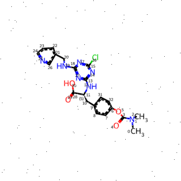 CN(C)C(=O)Oc1ccc(C[C@H](Nc2nc(Cl)nc(NCc3cccnc3)n2)C(=O)O)cc1